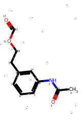 CC(=O)Nc1cccc(CCOC=O)c1